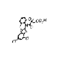 Cc1cccc2c1N(c1nc3c(Cl)cc(Cl)cc3s1)C(=O)C(C)(CC(=O)O)O2